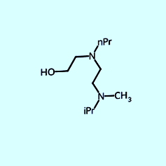 CCCN(CCO)CCN(C)C(C)C